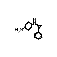 N[C@H]1CC[C@H](NC2CC2c2ccccc2)CC1